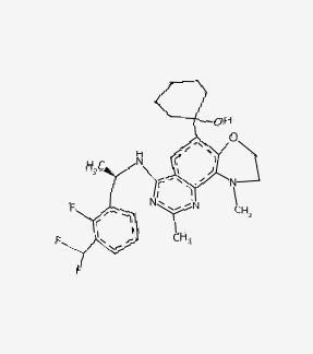 Cc1nc(N[C@H](C)c2cccc(C(F)F)c2F)c2cc(C3(O)CCCCC3)c3c(c2n1)N(C)CCO3